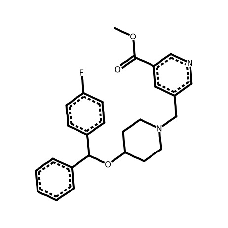 COC(=O)c1cncc(CN2CCC(OC(c3ccccc3)c3ccc(F)cc3)CC2)c1